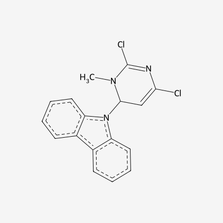 CN1C(Cl)=NC(Cl)=CC1n1c2ccccc2c2ccccc21